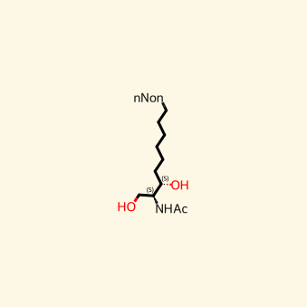 CCCCCCCCCCCCCCC[C@H](O)[C@H](CO)NC(C)=O